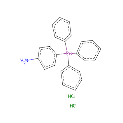 Cl.Cl.Nc1ccc([PH](c2ccccc2)(c2ccccc2)c2ccccc2)cc1